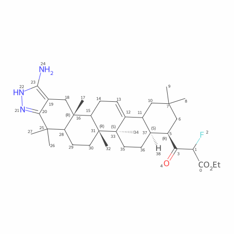 CCOC(=O)C(F)C(=O)[C@@H]1CC(C)(C)CC2C3=CCC4[C@@]5(C)Cc6c(n[nH]c6N)C(C)(C)C5CC[C@@]4(C)[C@]3(C)CC[C@@H]21